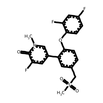 Cn1cc(-c2cc(CS(C)(=O)=O)ccc2Oc2ccc(F)cc2F)cc(F)c1=O